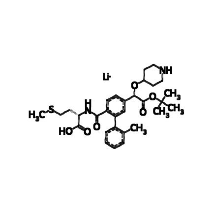 CSCC[C@H](NC(=O)c1ccc(C(OC2CCNCC2)C(=O)OC(C)(C)C)cc1-c1ccccc1C)C(=O)O.[Li]